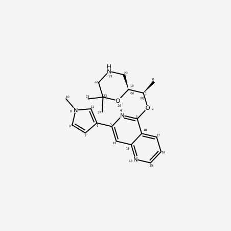 C[C@@H](Oc1nc(-c2ccn(C)c2)cc2ncccc12)[C@@H]1CNCC(C)(C)O1